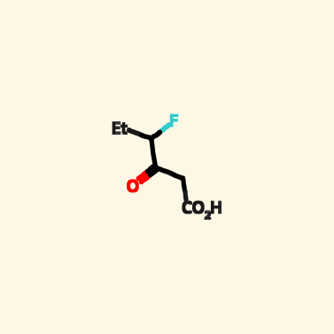 CCC(F)C(=O)CC(=O)O